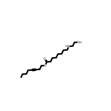 CCCCC#CCCOC(=O)CCCCCCCNCCO